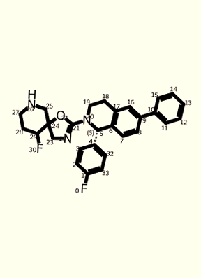 Fc1ccc([C@H]2c3ccc(-c4ccccc4)cc3CCN2C2=NCC3(CNCCC3F)O2)cc1